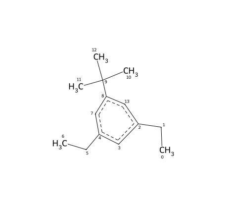 CCc1cc(CC)cc(C(C)(C)C)c1